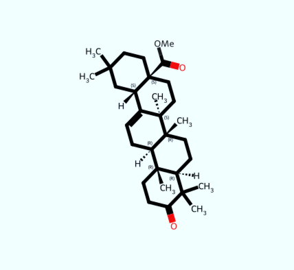 COC(=O)[C@]12CCC(C)(C)C[C@H]1C1=CC[C@@H]3[C@@]4(C)CCC(=O)C(C)(C)[C@@H]4CC[C@@]3(C)[C@]1(C)CC2